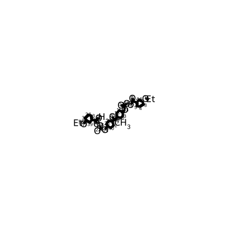 CCOc1cccc(C(=O)OOC(=O)OC2CCC(C(C)(C)C3CCC(OC(=O)OOC(=O)c4cccc(OCC)c4)CC3)CC2)c1